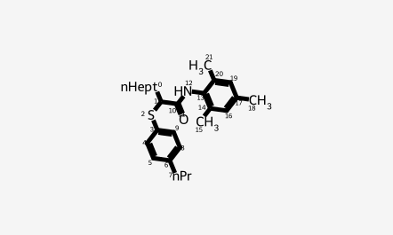 CCCCCCCC(Sc1ccc(CCC)cc1)C(=O)Nc1c(C)cc(C)cc1C